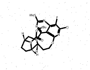 CSc1nc2c3c(nc(Cl)c(F)c3n1)OCC[C@@H]1[C@@H]3CC[C@H](CN21)N3C(=O)OC(C)(C)C